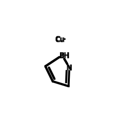 B1C=CC=N1.[Cu]